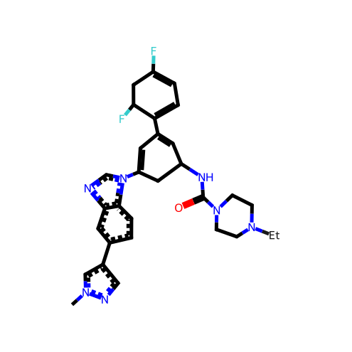 CCN1CCN(C(=O)NC2C=C(C3=CC=C(F)CC3F)C=C(n3cnc4cc(-c5cnn(C)c5)ccc43)C2)CC1